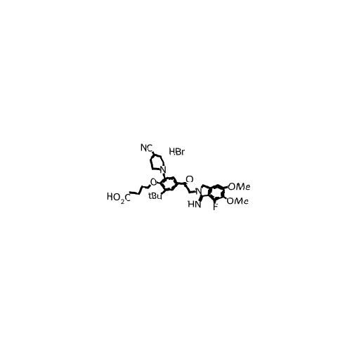 Br.COc1cc2c(c(F)c1OC)C(=N)N(CC(=O)c1cc(N3CCC(C#N)CC3)c(OCCCCC(=O)O)c(C(C)(C)C)c1)C2